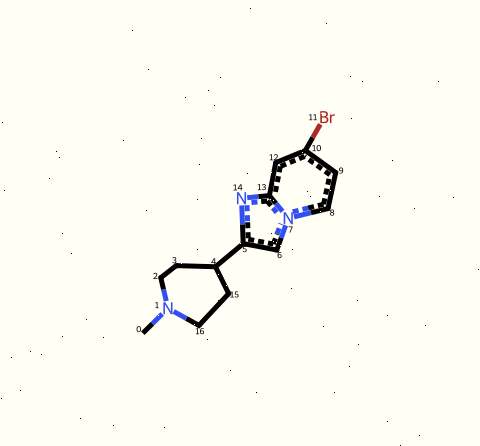 CN1CCC(c2cn3ccc(Br)cc3n2)CC1